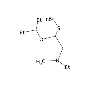 CCCCSC(CN(C)CC)OC(CC)CC